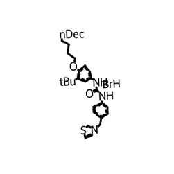 Br.CCCCCCCCCCCCCCOc1ccc(NC(=O)Nc2ccc(CN3C=CSC3)cc2)cc1C(C)(C)C